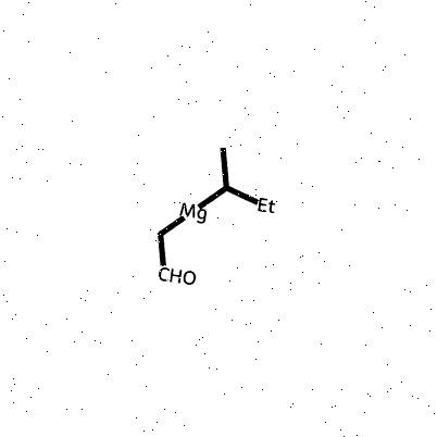 CC[CH](C)[Mg][CH2]C=O